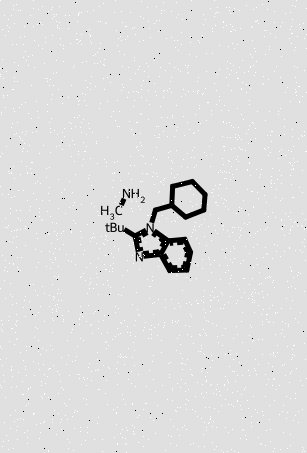 CC(C)(C)c1nc2ccccc2n1CC1CCCCC1.CN